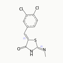 C/N=C1\NC(=O)/C(=C/c2ccc(Cl)c(Cl)c2)S1